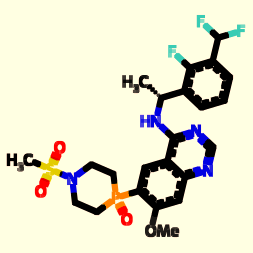 COc1cc2ncnc(N[C@H](C)c3cccc(C(F)F)c3F)c2cc1P1(=O)CCN(S(C)(=O)=O)CC1